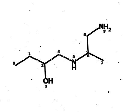 CCC(O)CNC(C)CN